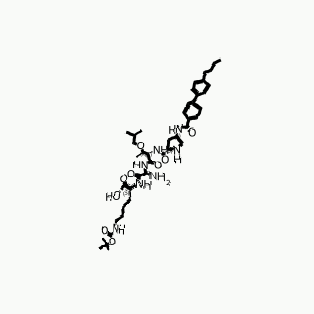 CCCCc1ccc(-c2ccc(C(=O)N[C@@H]3CN[C@H](C(=O)N[C@H](C(=O)N[C@@H](N)C(=O)N[C@@H](CCCCNC(=O)OC(C)(C)C)C(=O)O)[C@@H](C)OCC(C)C)C3)cc2)cc1